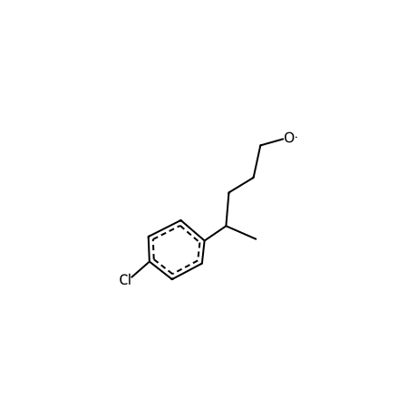 CC(CCC[O])c1ccc(Cl)cc1